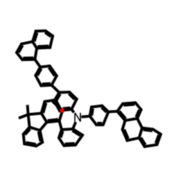 CC1(C)c2ccccc2-c2c(-c3ccccc3N(c3ccc(-c4ccc(-c5cccc6ccccc56)cc4)cc3)c3ccc(-c4cccc5c4ccc4ccccc45)cc3)cccc21